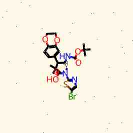 CC(C)(C)OC(=O)N[C@H](CN(C(=O)O)c1ncc(Br)s1)C(c1ccc2c(c1)OCCO2)C(C)(C)C